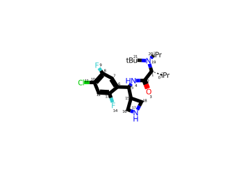 CC(C)[C@H](C(=O)NC(c1cc(F)c(Cl)cc1F)C1CNC1)N(C(C)C)C(C)(C)C